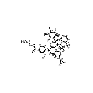 COc1cc(C(=O)OCCO)ccc1N(Cc1cc(C2CC2)cc(C(C)(C)C)c1)C(=O)CN(Cc1cnccc1C(F)(F)F)S(=O)(=O)c1c(F)c(F)c(F)c(F)c1F